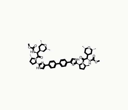 COC(=O)N[C@H](C(=O)N1[C@@H](C)CC[C@H]1c1nc(-c2ccc(-c3ccc(-c4c[nH]c([C@@H]5CC[C@H](C)N5C(=O)[C@@H](NC(=O)OC)[C@@H]5C[C@@H](C)O[C@@H](C)C5)n4)cc3)cc2)c[nH]1)C1C[C@@H](C)O[C@@H](C)C1